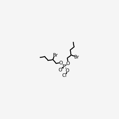 CCCC(Br)COP(=O)(OCl)OCC(Br)CCC